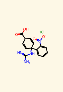 Cl.N=C(N)NC1(c2ccccc2[N+](=O)[O-])C=CC(C(=O)O)C=C1